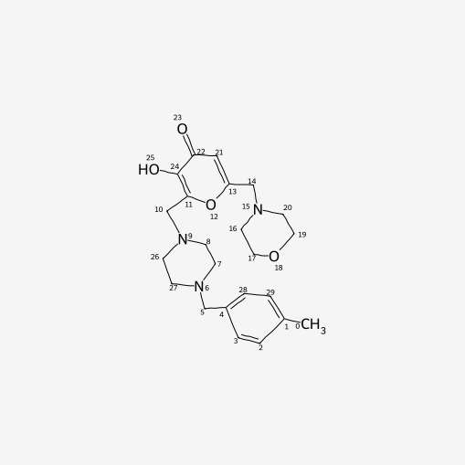 Cc1ccc(CN2CCN(Cc3oc(CN4CCOCC4)cc(=O)c3O)CC2)cc1